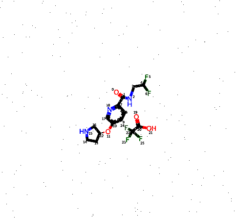 O=C(NCC(F)F)c1ccc(O[C@@H]2CCNC2)cn1.O=C(O)C(F)(F)F